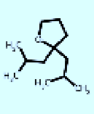 CC(C)CC1(CC(C)C)CCCO1